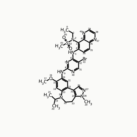 CCN(c1c(Nc2nc(Nc3cc4c(cc3OC)N(C(C)C)CCc3c-4cnn3C)ncc2Br)ccc2nccnc12)S(C)(=O)=O